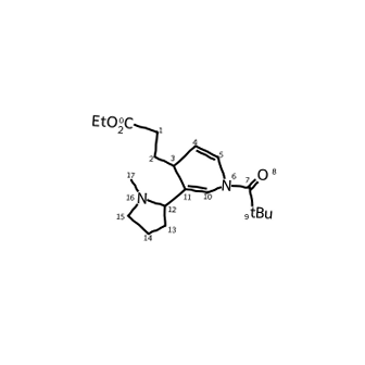 CCOC(=O)CCC1C=CN(C(=O)C(C)(C)C)C=C1C1CCCN1C